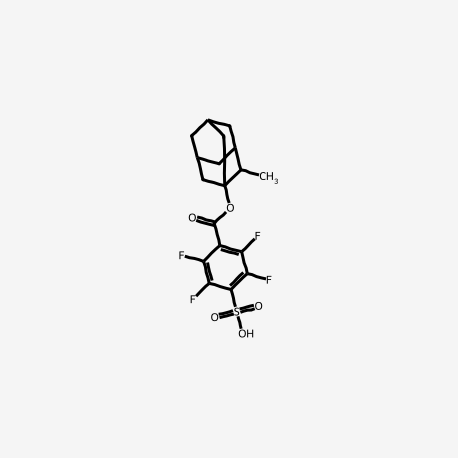 CC1C2CC3CC(C2)CC1(OC(=O)c1c(F)c(F)c(S(=O)(=O)O)c(F)c1F)C3